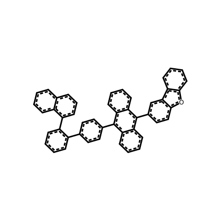 c1ccc(-c2cccc3ccccc23)c(-c2ccc(-c3c4ccccc4c(-c4ccc5oc6ccccc6c5c4)c4ccccc34)cc2)c1